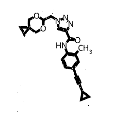 Cc1cc(C#CC2CC2)ccc1NC(=O)c1cn(CC2OCC3(CC3)CO2)nn1